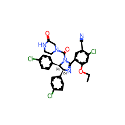 CCOc1cc(Cl)c(C#N)cc1C1=N[C@@H](c2ccc(Cl)cc2)[C@@H](c2ccc(Cl)cc2)N1C(=O)N1CCNC(=O)C1